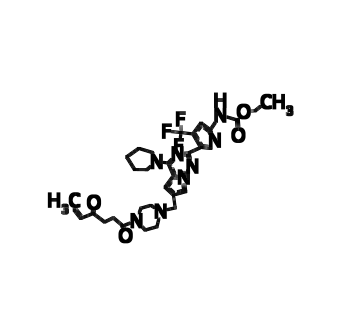 C/C=C\C(=O)CCC(=O)N1CCN(Cc2cc3c(N4CCCCC4)nc(-c4cnc(NC(=O)OCC)cc4C(F)(F)F)nn3c2)CC1